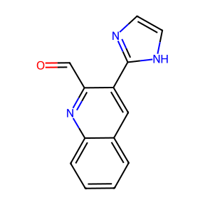 O=Cc1nc2ccccc2cc1-c1ncc[nH]1